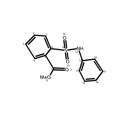 COC(=O)c1ccccc1S(=O)(=O)Nc1ccccc1